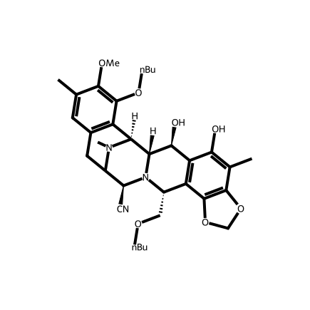 CCCCOC[C@H]1c2c3c(c(C)c(O)c2[C@H](O)[C@H]2[C@@H]4c5c(cc(C)c(OC)c5OCCCC)CC([C@H](C#N)N21)N4C)OCO3